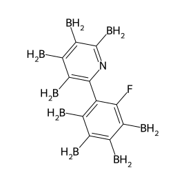 Bc1nc(-c2c(B)c(B)c(B)c(B)c2F)c(B)c(B)c1B